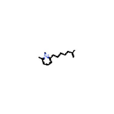 C=C(C)CCCCCc1cccc(C)[n+]1C